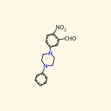 O=Cc1cc(N2CCN(c3ccccc3)CC2)ccc1[N+](=O)[O-]